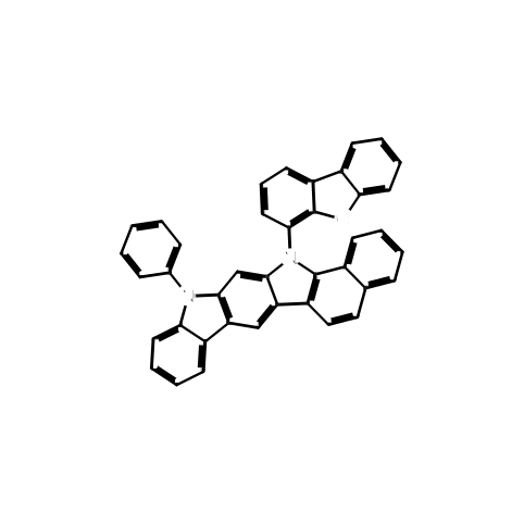 c1ccc(-n2c3ccccc3c3cc4c5ccc6ccccc6c5n(-c5cccc6c5oc5ccccc56)c4cc32)cc1